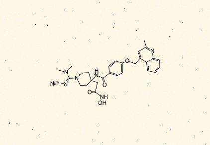 Cc1cc(COc2ccc(C(=O)NC3(CC(=O)NO)CCN(C(=NC#N)N(C)C)CC3)cc2)c2ccccc2n1